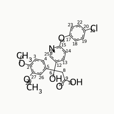 COc1ccc(C(O)(CC(=O)O)c2ccc(Oc3ccc(Cl)cc3)nc2)cc1OC